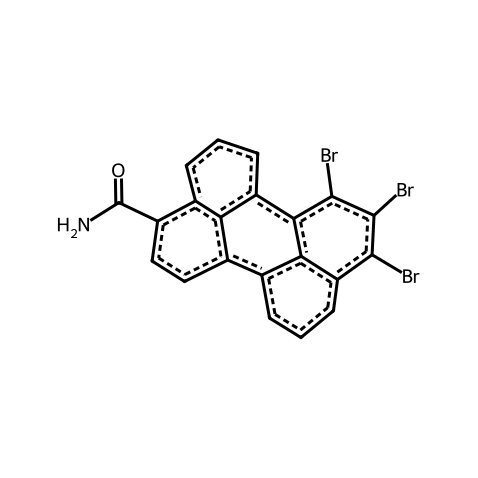 NC(=O)c1ccc2c3cccc4c(Br)c(Br)c(Br)c(c5cccc1c25)c43